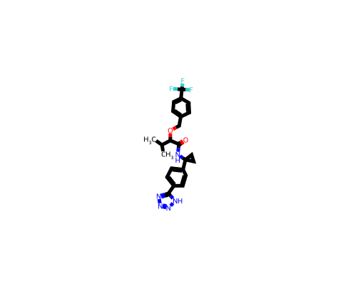 CC(C)C(OCc1ccc(C(F)(F)F)cc1)C(=O)NC1(c2ccc(-c3nnn[nH]3)cc2)CC1